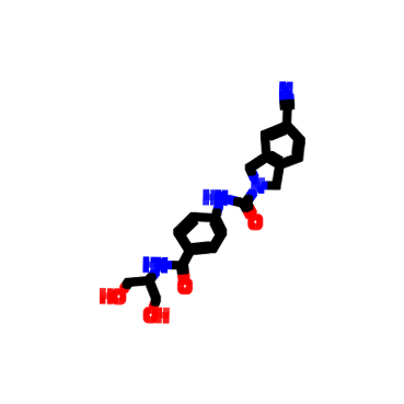 N#Cc1ccc2c(c1)CN(C(=O)Nc1ccc(C(=O)NC(CO)CO)cc1)C2